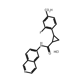 Cl.O=C(O)c1ccc(C2CC2C(=O)Nc2ccc3cnccc3c2)c(F)c1